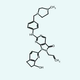 C=CCn1c(=O)c2cnc(Nc3ccc(CN4CCN(C)CC4)cc3)nc2n1-c1ccc2c(n1)C(O)CC2